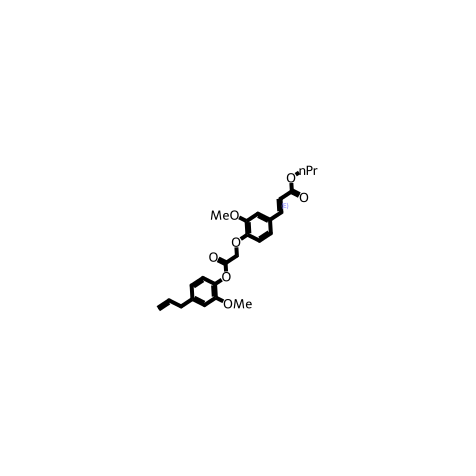 C=CCc1ccc(OC(=O)COc2ccc(/C=C/C(=O)OCCC)cc2OC)c(OC)c1